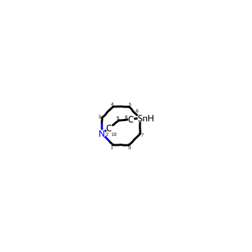 C1CN2CC[CH2][SnH]([CH2]1)[CH2]CC2